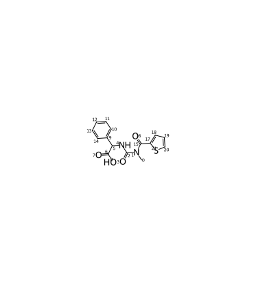 CN(C(=O)NC(C(=O)O)c1ccccc1)C(=O)c1cccs1